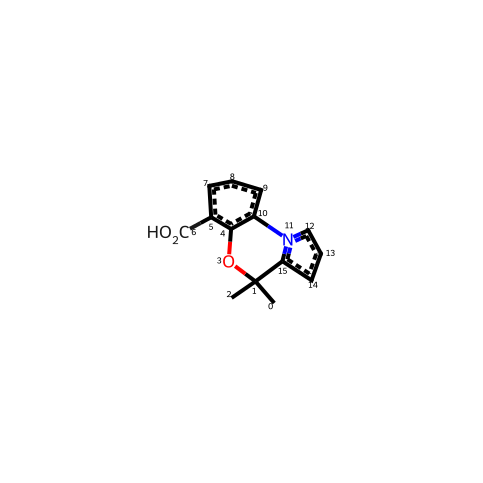 CC1(C)Oc2c(C(=O)O)cccc2-n2cccc21